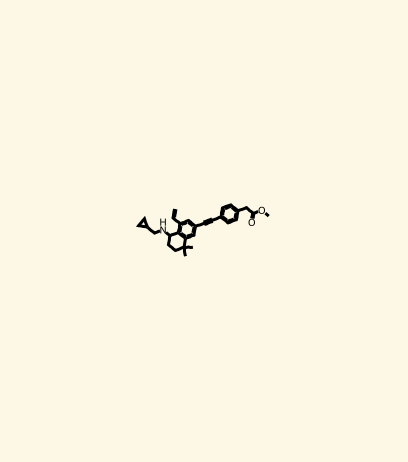 C=Cc1cc(C#Cc2ccc(CC(=O)OC)cc2)cc2c1C(NCC1CC1)CCC2(C)C